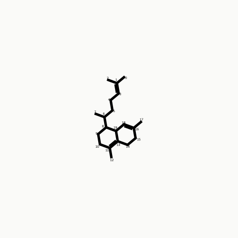 CC(C)=CCCC(C)C1CCC(C)=C2CCC(C)=CC21